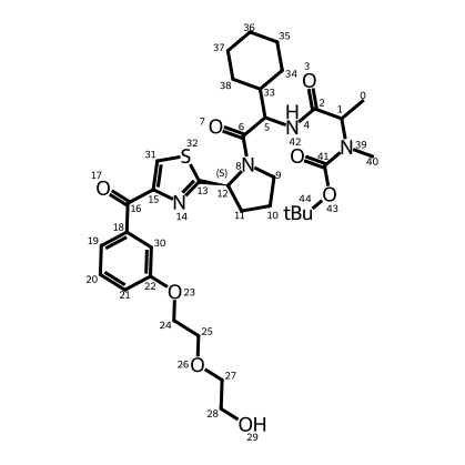 CC(C(=O)NC(C(=O)N1CCC[C@H]1c1nc(C(=O)c2cccc(OCCOCCO)c2)cs1)C1CCCCC1)N(C)C(=O)OC(C)(C)C